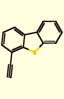 [C]#Cc1cccc2c1sc1ccccc12